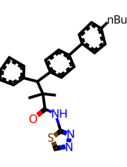 CCCCc1ccc(-c2ccc(C(c3ccccc3)C(C)(C)C(=O)Nc3nncs3)cc2)cc1